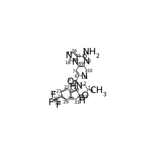 C[C@@H]1CN(C(=O)c2cc3c(cn2)nc(N)c2cncn23)[C@H]2c3ccc(C(F)(F)F)cc3C[C@H]2O1